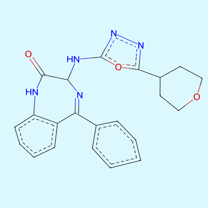 O=C1Nc2ccccc2C(c2ccccc2)=NC1Nc1nnc(C2CCOCC2)o1